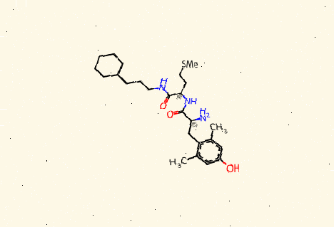 CSCC[C@@H](NC(=O)[C@@H](N)Cc1c(C)cc(O)cc1C)C(=O)NCCCC1CCCCC1